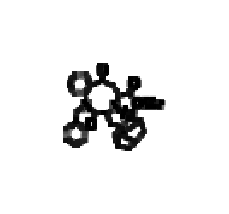 COC(=O)C1CC(=O)c2ccccc2N(Cc2ccccc2)C(=O)C(CC23CC4CC(CC(C4)C2)C3)N1C(C)=O